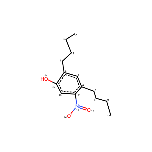 CCCCc1cc(CCCC)c([N+](=O)[O-])cc1O